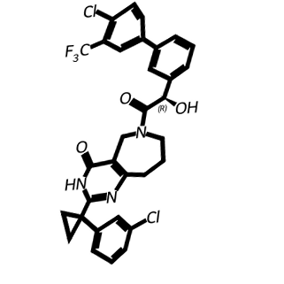 O=C([C@H](O)c1cccc(-c2ccc(Cl)c(C(F)(F)F)c2)c1)N1CCCc2nc(C3(c4cccc(Cl)c4)CC3)[nH]c(=O)c2C1